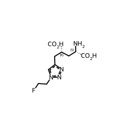 N[C@@H](C[C@H](Cc1cn(CCF)nn1)C(=O)O)C(=O)O